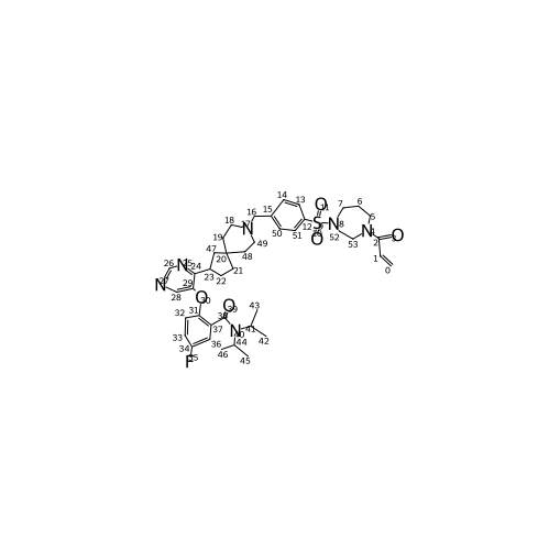 C=CC(=O)N1CCCN(S(=O)(=O)c2ccc(CN3CCC4(CCC(c5ncncc5Oc5ccc(F)cc5C(=O)N(C(C)C)C(C)C)C4)CC3)cc2)CC1